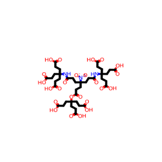 O=C(O)CCC(CCC(=O)O)(CCC(=O)O)NC(=O)CCC(CCC(=O)NC(CCC(=O)O)(CCC(=O)O)CCC(=O)O)(CCC(=O)OC(CCC(=O)O)(CCC(=O)O)CCC(=O)O)[N+](=O)[O-]